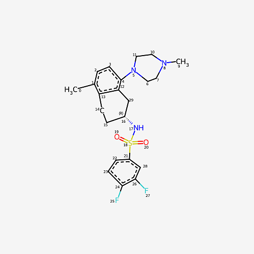 Cc1ccc(N2CCN(C)CC2)c2c1CC[C@@H](NS(=O)(=O)c1ccc(F)c(F)c1)C2